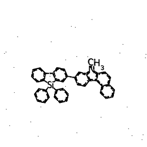 Cn1c2cc(-c3ccc4c(c3)[Si](c3ccccc3)(c3ccccc3)c3ccccc3-4)ccc2c2c3ccccc3ccc21